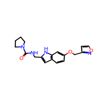 O=C(NCc1cc2ccc(OCc3ccon3)cc2[nH]1)N1CCCC1